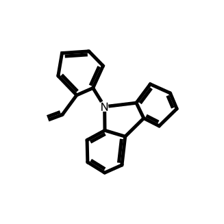 C=Cc1ccccc1-n1c2ccccc2c2ccccc21